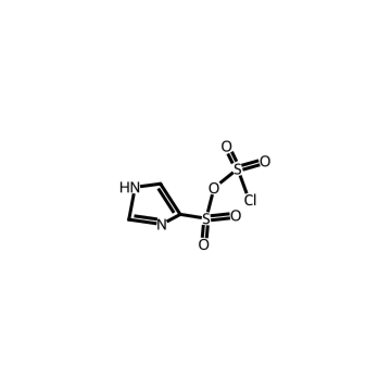 O=S(=O)(Cl)OS(=O)(=O)c1c[nH]cn1